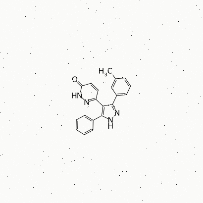 Cc1cccc(-c2n[nH]c(-c3ccccc3)c2-c2ccc(=O)[nH]n2)c1